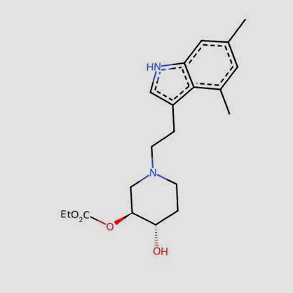 CCOC(=O)O[C@H]1CN(CCc2c[nH]c3cc(C)cc(C)c23)CC[C@@H]1O